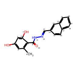 Cc1cc(O)cc(O)c1C(=O)N/N=C/c1ccc2ccccc2c1